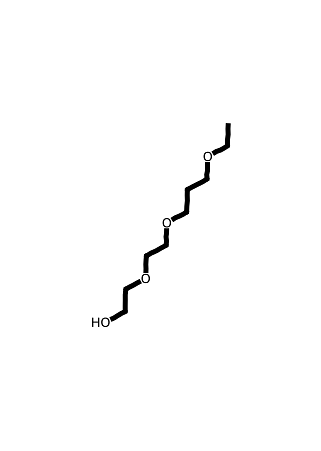 CCOCCCOCCOCCO